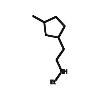 CCNCCC1CCC(C)C1